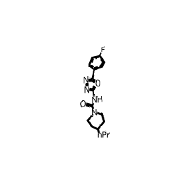 CCCC1CCN(C(=O)Nc2nnc(-c3ccc(F)cc3)o2)CC1